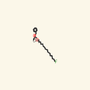 CCC(COCCCCCCCCCCCCCCCCF)OCc1ccccc1